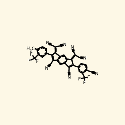 Cc1ccc(C2=C(C#N)c3cc4c(cc3C2=C(C#N)C#N)C(=C(C#N)C#N)C(c2ccc(C#N)c(C(F)(F)F)c2)=C4C#N)cc1C(F)(F)F